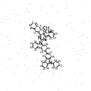 CC1(C)c2cc3ccccc3cc2-c2nc(-n3c4ccccc4c4cc(-c5ccc6c(c5)c5ccccc5n6-c5ccccc5)ccc43)nc(-c3ccccc3)c21